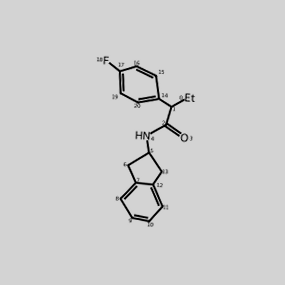 CCC(C(=O)NC1Cc2ccccc2C1)c1ccc(F)cc1